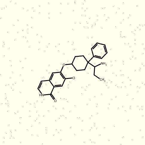 CCC(N)C1(c2ccccc2)CCC(Oc2cc3cc[nH]c(=O)c3cc2Cl)CC1